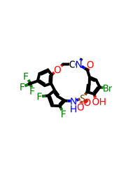 CN1CCOc2ccc(C(F)(F)F)cc2-c2cc(c(F)cc2F)NS(=O)(=O)c2cc(cc(Br)c2O)C1=O